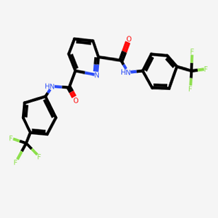 O=C(Nc1ccc(C(F)(F)F)cc1)c1cccc(C(=O)Nc2ccc(C(F)(F)F)cc2)n1